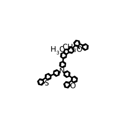 CC1(C)c2ccc(-c3ccc(N(c4ccc(-c5ccc6c(c5)sc5ccccc56)cc4)c4ccc(-c5cccc6oc7ccccc7c56)cc4)cc3)cc2-c2ccc(-c3cccc4c3oc3ccccc34)cc21